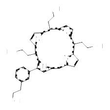 OCCc1cccc(-c2cc3cc4nc(c(CCO)c5ccc([nH]5)c(CCO)c5nc(c(CCO)c2[nH]3)C=C5)C=C4)c1